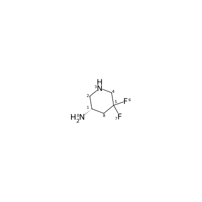 N[C@@H]1CNCC(F)(F)C1